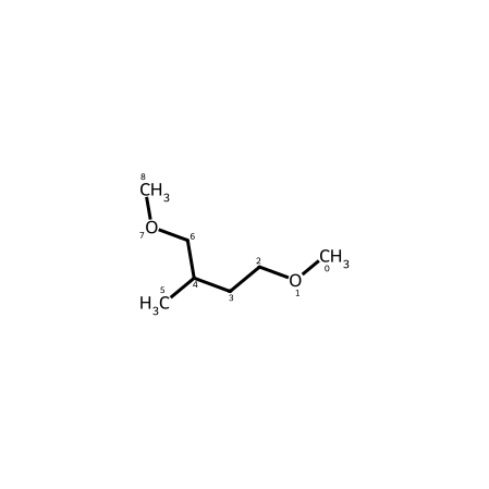 COCCC(C)COC